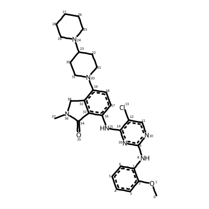 COc1ccccc1Nc1ncc(Cl)c(Nc2ccc(N3CCC(N4CCCCC4)CC3)c3c2C(=O)N(C)C3)n1